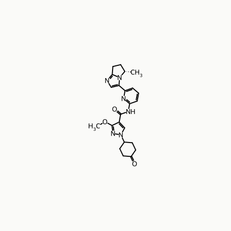 COc1nn(C2CCC(=O)CC2)cc1C(=O)Nc1cccc(-c2cnc3n2[C@@H](C)CC3)n1